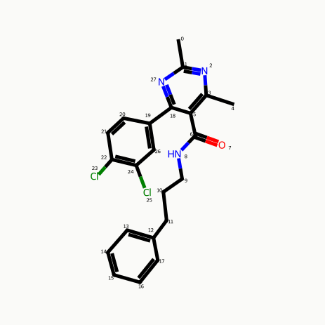 Cc1nc(C)c(C(=O)NCCCc2ccccc2)c(-c2ccc(Cl)c(Cl)c2)n1